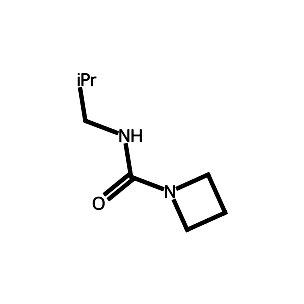 CC(C)CNC(=O)N1CCC1